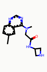 Cc1ccc2ncnc(N(C)CC(=O)NC3CNC3)c2c1